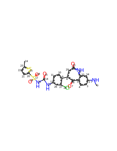 CNc1ccc2c(=O)c(-c3ccc(NC(=O)NS(=O)(=O)c4ccc(C)s4)cc3Cl)cc(=O)[nH]c2c1